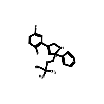 CC(C)(C)[Si](C)(C)OC[C@@]1(c2ccccc2)C=C(c2cc(F)ccc2F)CN1